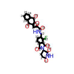 O=C1CCC(N2C(=O)c3ccc(CNC(=O)c4cc5c(o4)C(=O)c4ccccc4C5=O)c(F)c3C2=O)C(=O)N1